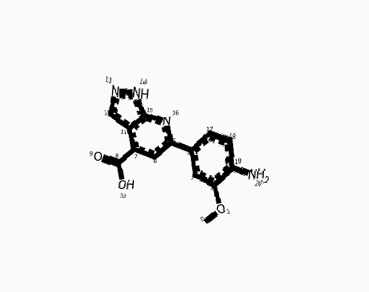 COc1cc(-c2cc(C(=O)O)c3cn[nH]c3n2)ccc1N